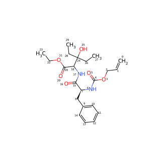 C=CCOC(=O)N[C@@H](Cc1ccccc1)C(=O)NC(C(=O)OCC)C(O)(CC)CC